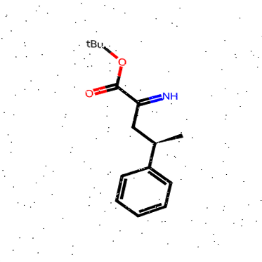 C[C@H](CC(=N)C(=O)OC(C)(C)C)c1ccccc1